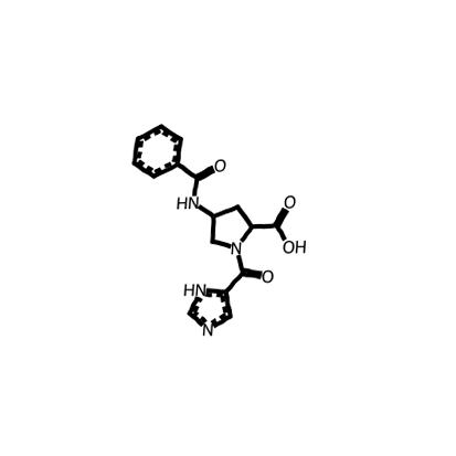 O=C(NC1CC(C(=O)O)N(C(=O)c2cnc[nH]2)C1)c1ccccc1